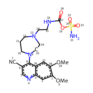 COc1cc2ncc(C#N)c(N3CCCN(CCNC(=O)OS(N)(=O)=O)CC3)c2cc1OC